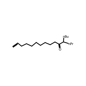 C=CCCCCCCCCC(=O)C(CCC)CCCC